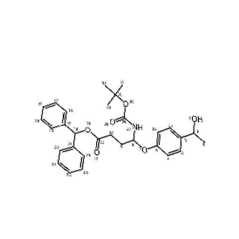 CC(O)c1ccc(OC(CCC(=O)OC(c2ccccc2)c2ccccc2)NC(=O)OC(C)(C)C)cc1